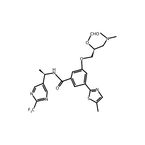 Cc1cnc(-c2cc(OC[C@H](CN(C)C)OC=O)cc(C(=O)N[C@H](C)c3cnc(C(F)(F)F)nc3)c2)s1